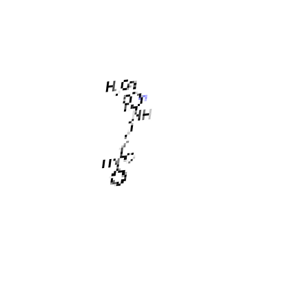 COC(=O)/C=C\C(=O)NCCCCCC(=O)Nc1ccccc1